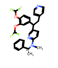 C[C@H](c1ccccc1)N(C)c1ccc(C(Cc2ccncc2)c2ccc(OC(F)F)c(OC(F)F)c2)cn1